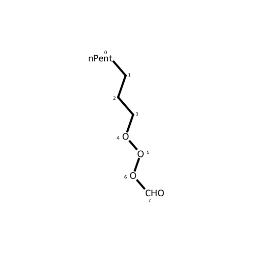 CCCCCCCCOOOC=O